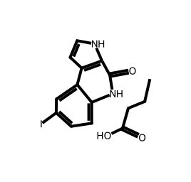 CCCC(=O)O.O=c1[nH]c2ccc(I)cc2c2cc[nH]c12